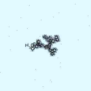 CC1(C)c2ccccc2-c2ccc(N(c3ccccc3)c3ccc(-c4ccc5c(c4)c4cc(N(c6ccc(-c7cccc8ccccc78)cc6)c6ccc(-c7ccccc7)c7ccccc67)ccc4n5-c4ccc5c6ccccc6c6ccccc6c5c4)cc3)cc21